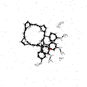 COc1ccc(-c2c(-c3ccc(OC)cc3)c3c(-c4ccc(OC)cc4)c4nc(cc5ccc(cc6nc(cc2n3-c2ccc(OC)cc2)C=C6)[nH]5)C=C4)cc1.[Cl-].[Cl-].[Cl-].[Fe+3]